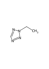 CCn1ncnn1